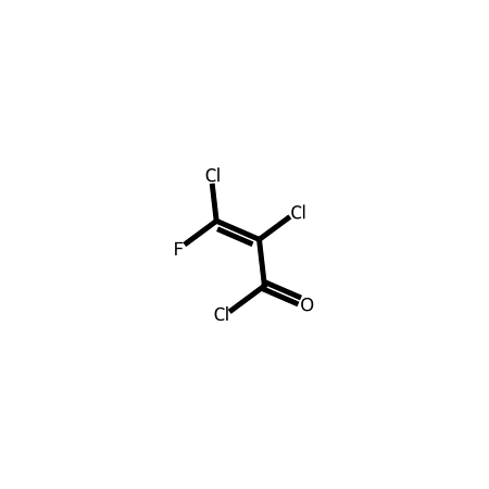 O=C(Cl)/C(Cl)=C(\F)Cl